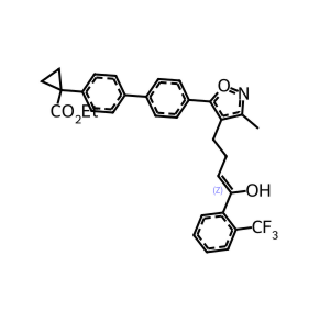 CCOC(=O)C1(c2ccc(-c3ccc(-c4onc(C)c4CC/C=C(\O)c4ccccc4C(F)(F)F)cc3)cc2)CC1